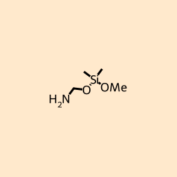 CO[Si](C)(C)OCN